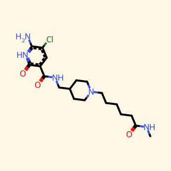 CNC(=O)CCCCCN1CCC(CNC(=O)c2cc(Cl)c(N)[nH]c2=O)CC1